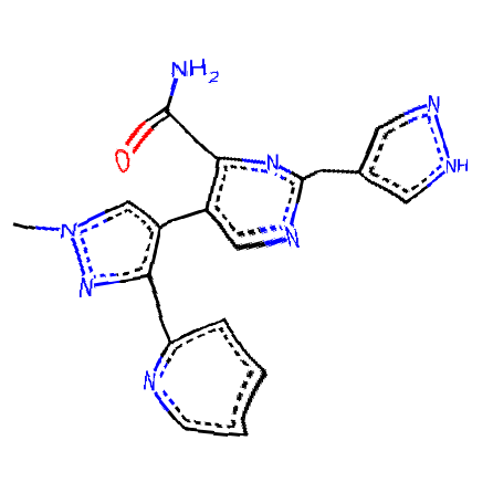 Cn1cc(-c2cnc(-c3cn[nH]c3)nc2C(N)=O)c(-c2ccccn2)n1